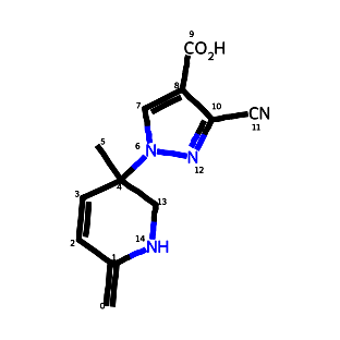 C=C1C=CC(C)(n2cc(C(=O)O)c(C#N)n2)CN1